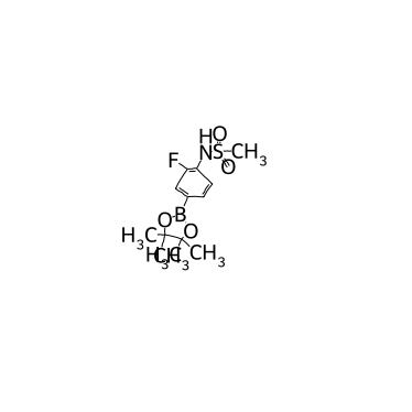 CC1(C)OB(c2ccc(NS(C)(=O)=O)c(F)c2)OC1(C)C